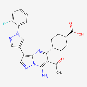 CC(=O)c1c(N)n2ncc(-c3cnn(-c4ccccc4F)c3)c2nc1[C@H]1CC[C@H](C(=O)O)CC1